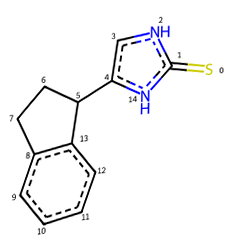 S=c1[nH]cc(C2CCc3ccccc32)[nH]1